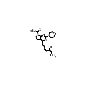 C\C=C(O)/C=C\C=C\c1nc(N2CCOCC2)nc2c1CCN2C(=O)CCCC